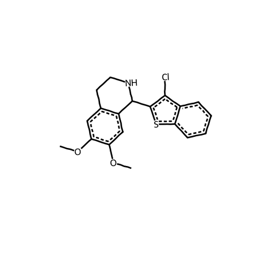 COc1cc2c(cc1OC)C(c1sc3ccccc3c1Cl)NCC2